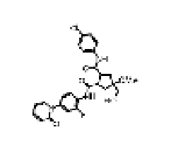 COC1(CO)CC(C(=O)Nc2ccc(Cl)cc2)C(C(=O)Nc2ccc(-n3ccccc3=O)cc2F)C1